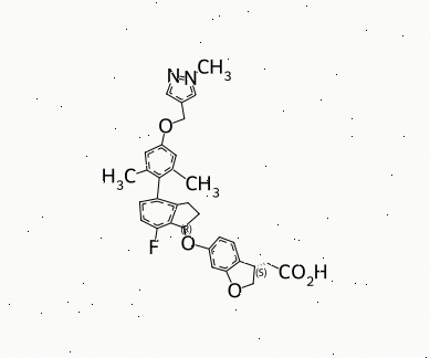 Cc1cc(OCc2cnn(C)c2)cc(C)c1-c1ccc(F)c2c1CC[C@H]2Oc1ccc2c(c1)OC[C@H]2CC(=O)O